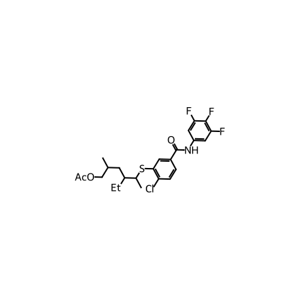 CCC(CC(C)COC(C)=O)C(C)Sc1cc(C(=O)Nc2cc(F)c(F)c(F)c2)ccc1Cl